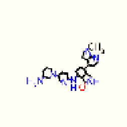 CN1CCc2c(-c3ccc(Nc4ccc(N5CCC[C@H](N)C5)cn4)c4c3CNC4=O)ccnc21